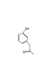 CC(=O)Cc1cccc(S)c1